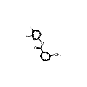 Cc1cccc(C(=O)Oc2ccc(F)c(F)c2)c1